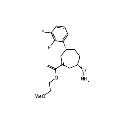 C=C(OCCOC)N1C[C@H](ON)CC[C@@H](c2cccc(F)c2F)C1